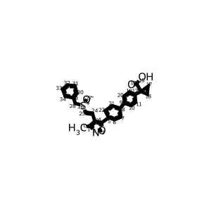 Cc1noc(-c2ccc(-c3ccc(C4(C(=O)O)CC4)cc3)cc2)c1/C=C/[S+]([O-])Cc1ccccc1